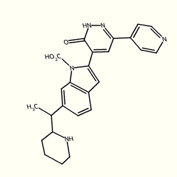 CC(c1ccc2cc(-c3cc(-c4ccncc4)n[nH]c3=O)n(C(=O)O)c2c1)C1CCCCN1